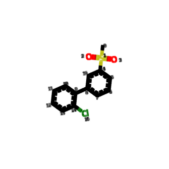 CS(=O)(=O)c1cccc(-c2ccccc2Cl)c1